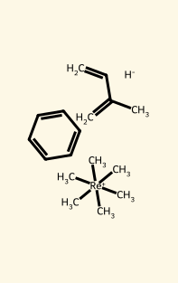 C=CC(=C)C.[CH3][Re+]([CH3])([CH3])([CH3])([CH3])[CH3].[H-].c1ccccc1